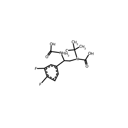 CC(C)(C)N(CC(NC(=O)O)c1ccc(F)c(F)c1)C(=O)O